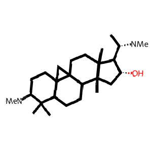 CNC1CCC23CC24CCC2(C)C([C@H](C)NC)[C@H](O)CC2(C)C4CCC3C1(C)C